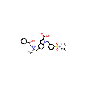 CC(Cc1ccc2c(c1)cc(C(=O)O)n2Cc1cccc(S(=O)(=O)N(C)C)c1)NCC(O)c1ccccc1